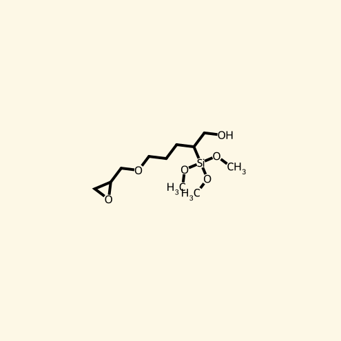 CO[Si](OC)(OC)C(CO)CCCOCC1CO1